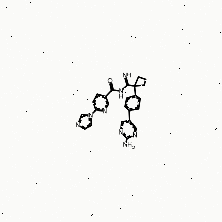 N=C(NC(=O)c1ccc(-n2ccnc2)nc1)C1(c2ccc(-c3cnc(N)nc3)cc2)CCC1